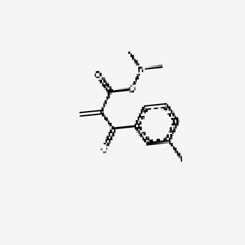 C=C(C(=O)ON(C)C)C(=O)c1cccc(I)c1